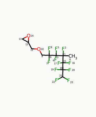 CC(F)(C(F)(F)C(F)(F)COCC1CO1)C(F)(F)C(F)(F)C(F)F